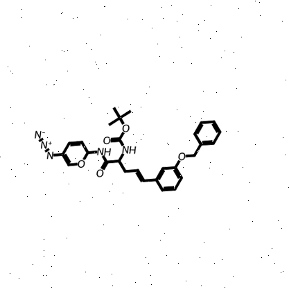 CC(C)(C)OC(=O)NC(CC=Cc1cccc(OCc2ccccc2)c1)C(=O)NC1C=CC(N=[N+]=[N-])=CO1